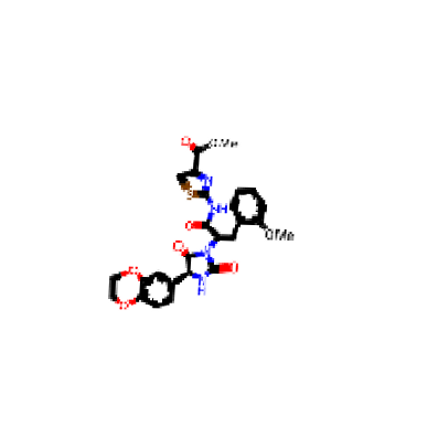 COC(=O)c1csc(NC(=O)C(Cc2ccccc2OC)N2C(=O)NC(c3ccc4c(c3)OCCO4)C2=O)n1